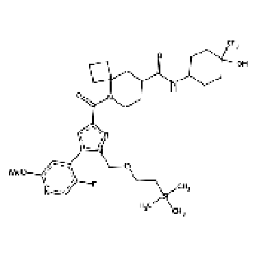 COc1cc(-c2cc(C(=O)N3CCC(C(=O)NC4CCC(O)(C(F)(F)F)CC4)CC34CCC4)nn2COCC[Si](C)(C)C)c(F)cn1